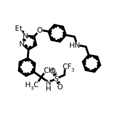 CCn1nc(-c2cccc(C(C)(C)NS(=O)(=O)CC(F)(F)F)c2)cc1Oc1ccc(CNCc2ccccc2)cc1